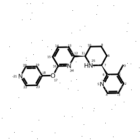 Cc1cccnc1[C@@H]1CCC[C@H](c2cccc(Oc3ccncc3)n2)N1